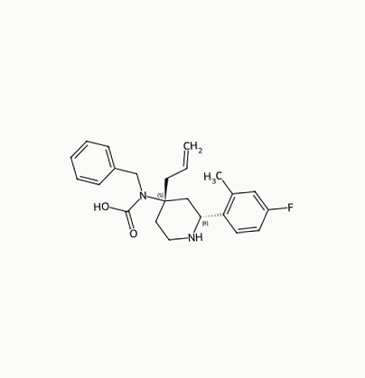 C=CC[C@]1(N(Cc2ccccc2)C(=O)O)CCN[C@@H](c2ccc(F)cc2C)C1